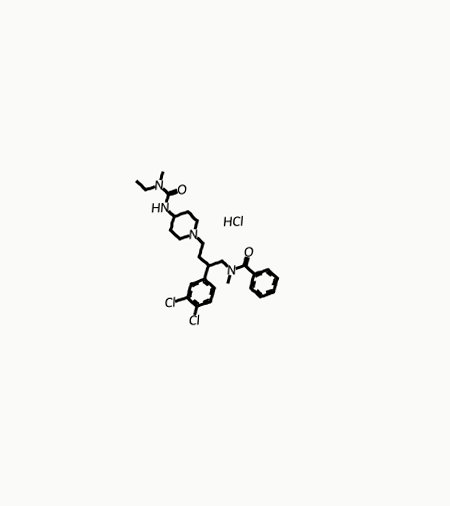 CCN(C)C(=O)NC1CCN(CCC(CN(C)C(=O)c2ccccc2)c2ccc(Cl)c(Cl)c2)CC1.Cl